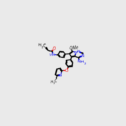 C=CC(=O)Nc1ccc(-c2c(-c3ccc(Oc4cccc(C)n4)cc3)c3c(N)ncnn3c2OC)cc1